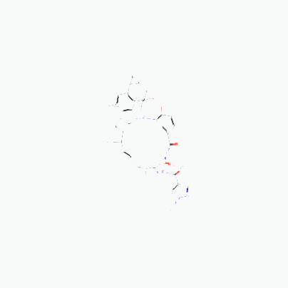 COC1/C=C/CC(C)C(C)S(=O)(NC(=O)c2cnn(C)c2)=NC(=O)c2ccc3c(c2)N(CC2CCC21)CC1(CO3)CC2CC2c2cc(Cl)ccc21